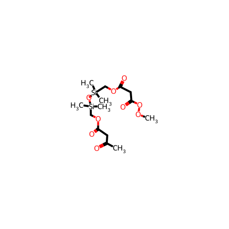 COOC(=O)CC(=O)OC[Si](C)(C)O[Si](C)(C)COC(=O)CC(C)=O